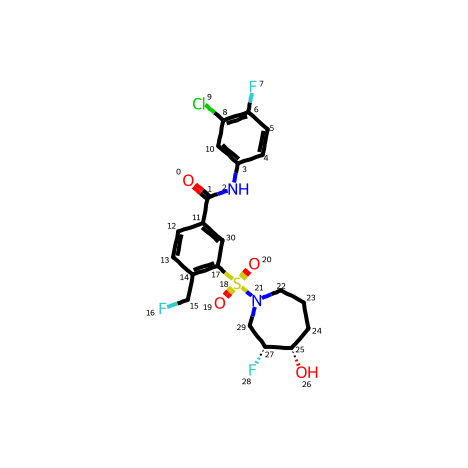 O=C(Nc1ccc(F)c(Cl)c1)c1ccc(CF)c(S(=O)(=O)N2CCC[C@H](O)[C@H](F)C2)c1